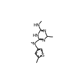 CNC1=NC(C)N=C(N(C)c2csc(C)c2)N1